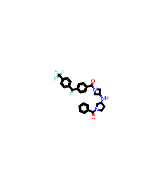 O=C(c1ccc(C(F)c2ccc(C(F)(F)F)cc2)cc1)N1CC(N[C@H]2CCN(C(=O)c3ccccc3)C2)C1